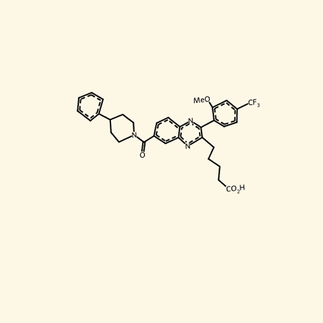 COc1cc(C(F)(F)F)ccc1-c1nc2ccc(C(=O)N3CCC(c4ccccc4)CC3)cc2nc1CCCCC(=O)O